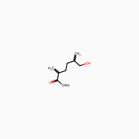 C=C(CO)CCC(=C)C(=O)OC